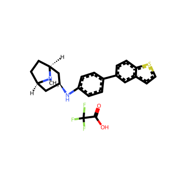 CN1[C@@H]2CC[C@H]1C[C@@H](Nc1ccc(-c3ccc4sccc4c3)cc1)C2.O=C(O)C(F)(F)F